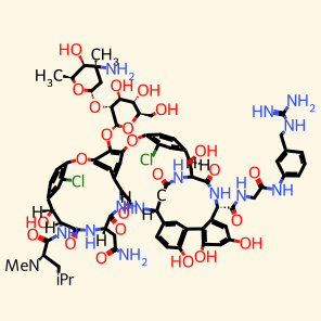 CN[C@H](CC(C)C)C(=O)N[C@H]1C(=O)N[C@@H](CC(N)=O)C(=O)N[C@H]2C(=O)N[C@H]3CC(=O)N[C@H](C(=O)N[C@H](C(=O)NCC(=O)Nc4cccc(CNC(=N)N)c4)c4cc(O)cc(O)c4-c4cc3ccc4O)[C@H](O)c3ccc(c(Cl)c3)Oc3cc2cc(c3O[C@@H]2O[C@H](CO)[C@@H](O)[C@H](O)[C@H]2O[C@H]2C[C@](C)(N)[C@H](O)[C@H](C)O2)Oc2ccc(cc2Cl)[C@H]1O